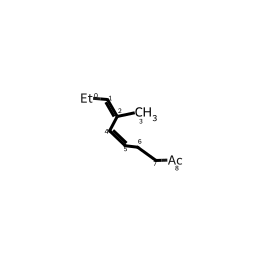 CC/C=C(C)\C=C/CCC(C)=O